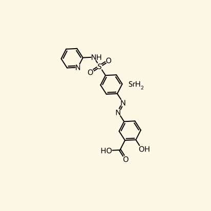 O=C(O)c1cc(N=Nc2ccc(S(=O)(=O)Nc3ccccn3)cc2)ccc1O.[SrH2]